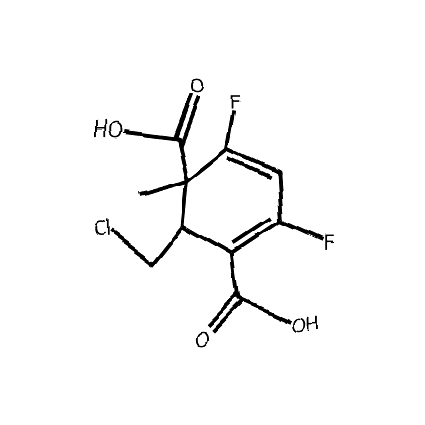 CC1(C(=O)O)C(F)=CC(F)=C(C(=O)O)C1CCl